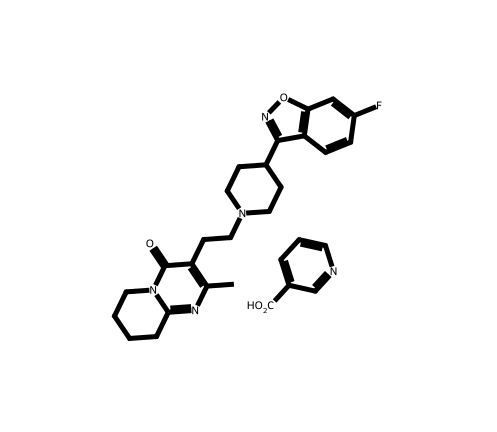 Cc1nc2n(c(=O)c1CCN1CCC(c3noc4cc(F)ccc34)CC1)CCCC2.O=C(O)c1cccnc1